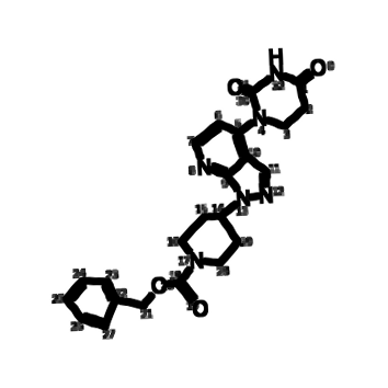 O=C1CCN(c2ccnc3c2cnn3C2CCN(C(=O)OCc3ccccc3)CC2)C(=O)N1